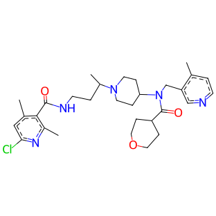 Cc1ccncc1CN(C(=O)C1CCOCC1)C1CCN(C(C)CCNC(=O)c2c(C)cc(Cl)nc2C)CC1